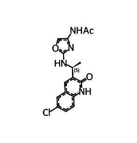 CC(=O)Nc1coc(N[C@@H](C)c2cc3cc(Cl)ccc3[nH]c2=O)n1